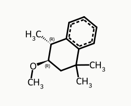 CO[C@@H]1CC(C)(C)c2ccccc2[C@H]1C